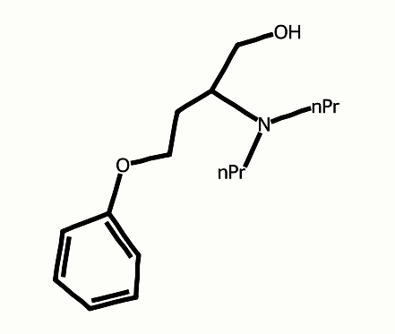 CCCN(CCC)C(CO)CCOc1ccccc1